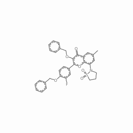 Cc1cc(N2CCCS2(=O)=O)c2oc(-c3ccc(OCc4ccccc4)c(F)c3)c(OCc3ccccc3)c(=O)c2c1